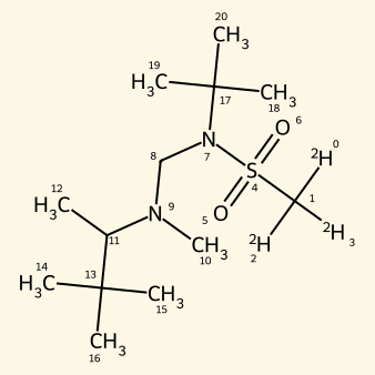 [2H]C([2H])([2H])S(=O)(=O)N(CN(C)C(C)C(C)(C)C)C(C)(C)C